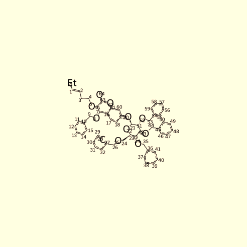 CCC=CCCOc1c(OCc2ccccc2)c2ccc(O[C@@H]3O[C@H](COCc4ccccc4)[C@@H](OCc4ccccc4)[C@H](OCc4ccccc4)[C@H]3OCc3ccccc3)cc2oc1=O